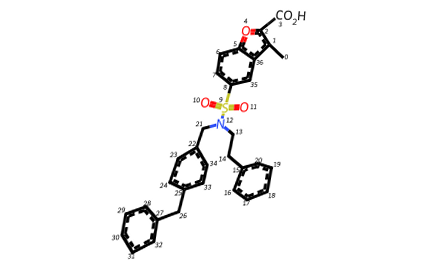 Cc1c(C(=O)O)oc2ccc(S(=O)(=O)N(CCc3ccccc3)Cc3ccc(Cc4ccccc4)cc3)cc12